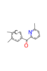 Cc1cccc(C(=O)c2ccc(C)c(C)c2)n1